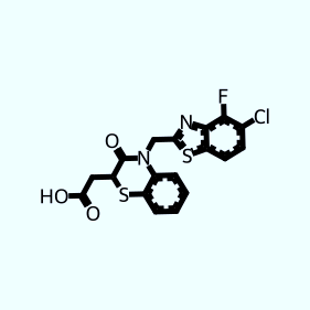 O=C(O)CC1Sc2ccccc2N(Cc2nc3c(F)c(Cl)ccc3s2)C1=O